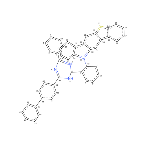 c1ccc(C2=NC(c3ccccc3-n3c4ccccc4c4cc5sc6ccccc6c5cc43)NC(c3ccc(-c4ccccc4)cc3)=N2)cc1